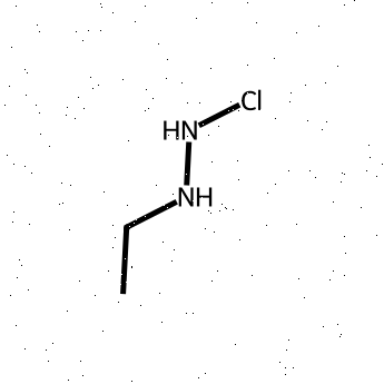 CCNNCl